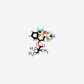 CCC(C)(C)C(=O)OC(CC(S(=O)(=O)C(F)(F)F)S(=O)(=O)C(F)(F)F)c1ccccc1